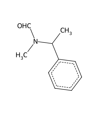 CC(c1ccccc1)N(C)C=O